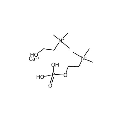 C[N+](C)(C)CCO.C[N+](C)(C)CCOP(=O)(O)O.[Ca+2]